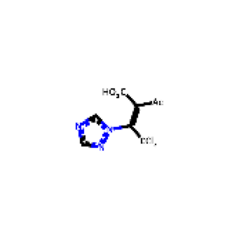 CC(=O)C(C(=O)O)=C(n1cncn1)C(Cl)(Cl)Cl